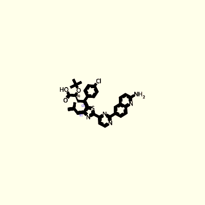 C=C(C)/C=c1/nc(-c2ccnc(-c3ccc4nc(N)ccc4c3)n2)s/c1=C(/C[C@H](OC(C)(C)C)C(=O)O)c1ccc(Cl)cc1